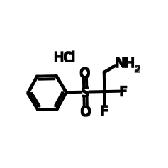 Cl.NCC(F)(F)S(=O)(=O)c1ccccc1